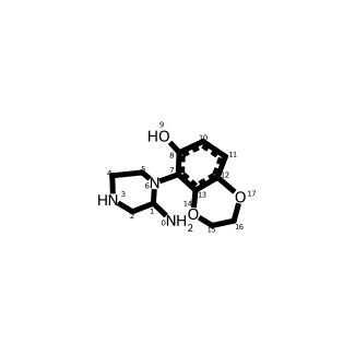 NC1CNCCN1c1c(O)ccc2c1OCCO2